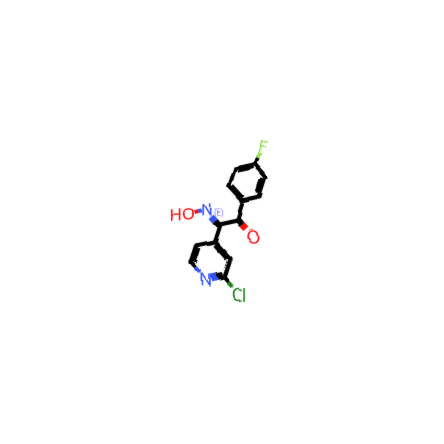 O=C(/C(=N/O)c1ccnc(Cl)c1)c1ccc(F)cc1